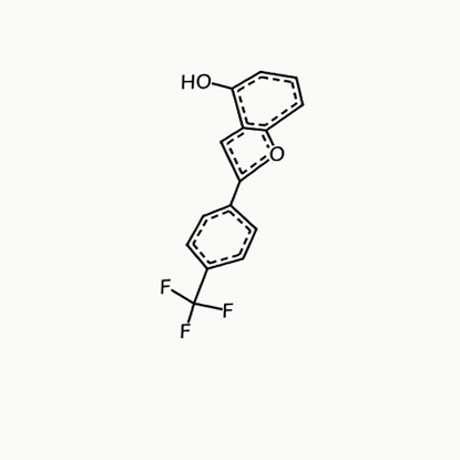 Oc1cccc2oc(-c3ccc(C(F)(F)F)cc3)cc12